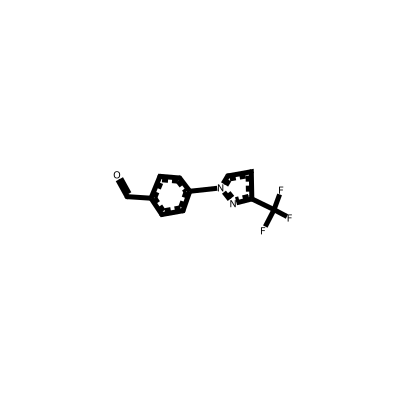 O=Cc1ccc(-n2ccc(C(F)(F)F)n2)cc1